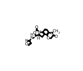 CN1C(=O)COc2c1ccc1c2C[C@H]2[C@H](CNc3ccon3)OC(=O)N12